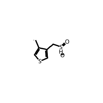 [CH2]c1cscc1C[SH](=O)=O